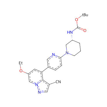 CCOc1cc(-c2ccc(N3CCC[C@@H](NC(=O)OC(C)(C)C)C3)nc2)c2c(C#N)cnn2c1